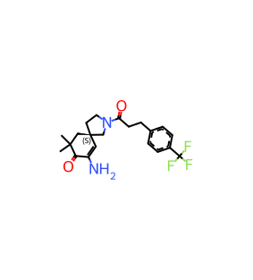 CC1(C)C[C@@]2(C=C(N)C1=O)CCN(C(=O)CCc1ccc(C(F)(F)F)cc1)C2